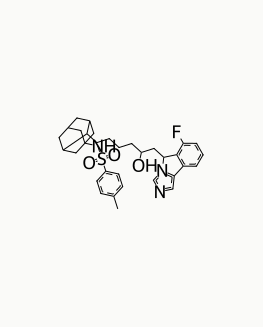 Cc1ccc(S(=O)(=O)NC23CC4CC(C2)C(CCCCC(O)CC2c5c(F)cccc5-c5cncn52)C(C4)C3)cc1